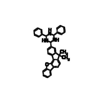 CC1(C)c2cc(C3NC(c4ccccc4)NC(c4ccccc4)N3)ccc2-c2c1ccc1c2oc2ccccc21